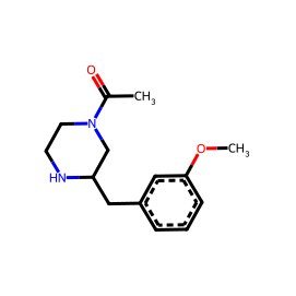 COc1cccc(CC2CN(C(C)=O)CCN2)c1